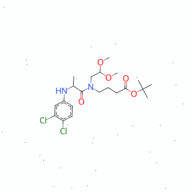 COC(CN(CCCC(=O)OC(C)(C)C)C(=O)C(C)Nc1ccc(Cl)c(Cl)c1)OC